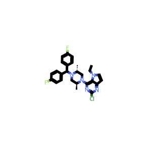 CCn1ccc2nc(Cl)nc(N3C[C@@H](C)N(C(c4ccc(F)cc4)c4ccc(F)cc4)C[C@@H]3C)c21